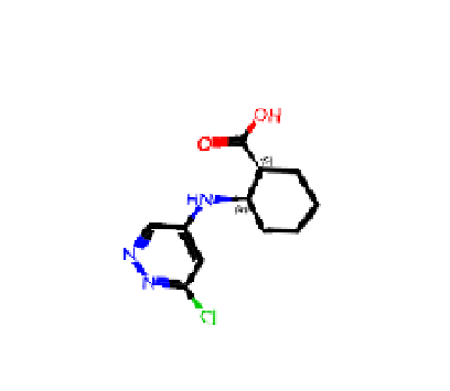 O=C(O)[C@H]1CCCC[C@H]1Nc1cnnc(Cl)c1